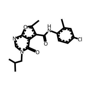 Cc1cc(Cl)ccc1NC(=O)c1c(C)oc2ncn(CC(C)C)c(=O)c12